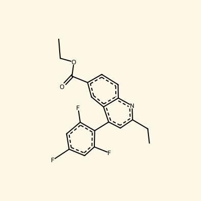 CCOC(=O)c1ccc2nc(CC)cc(-c3c(F)cc(F)cc3F)c2c1